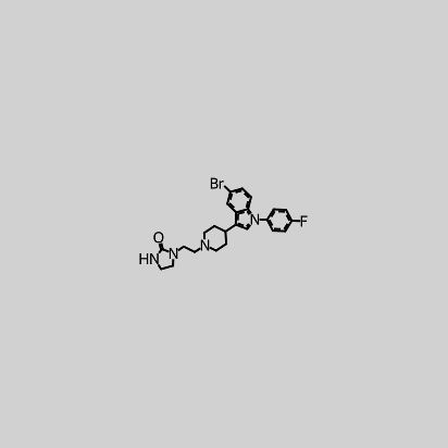 O=C1NCCN1CCN1CCC(c2cn(-c3ccc(F)cc3)c3ccc(Br)cc23)CC1